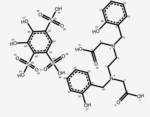 O=C(O)CN(CCN(CC(=O)O)Cc1ccccc1O)Cc1ccccc1O.O=S(=O)(O)c1cc(S(=O)(=O)O)c(S(=O)(=O)O)c(O)c1O